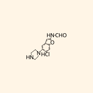 Cl.O=CNc1cc2cc(N3CCNCC3)ccc2o1